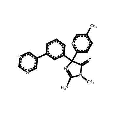 CN1C(=O)C(c2cccc(-c3cncnc3)c2)(c2ccc(C(F)(F)F)cn2)N=C1N